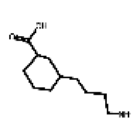 [NH]CCCCC1CCCC(C(=O)O)C1